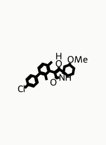 COC1CCCC2(C1)NC(=O)C(c1c(C)ccc(-c3ccc(Cl)cc3)c1C)=C2O